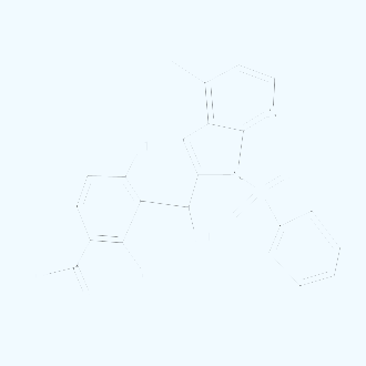 Cc1ccnc2c1cc(C(O)c1c(Cl)ccc(C(=O)O)c1Cl)n2S(=O)(=O)c1ccccc1